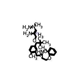 Cc1ccc(C(OC/C(N)=C/N(C)N)C(C)(C)C)cc1CN1CCOc2ccccc2ON1